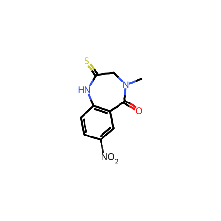 CN1CC(=S)Nc2ccc([N+](=O)[O-])cc2C1=O